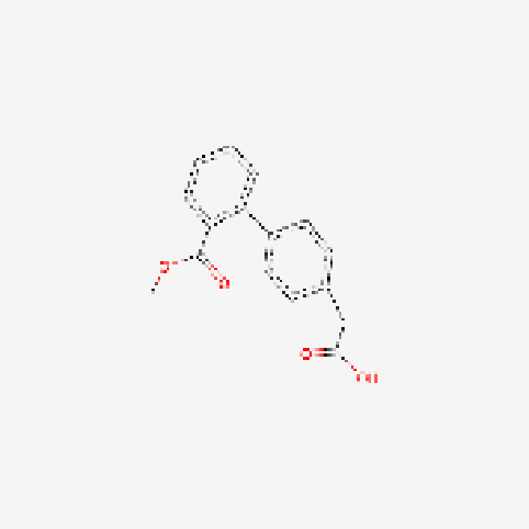 COC(=O)c1ccccc1-c1ccc(CC(=O)O)cc1